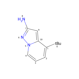 CC(C)(C)c1cccn2nc(N)cc12